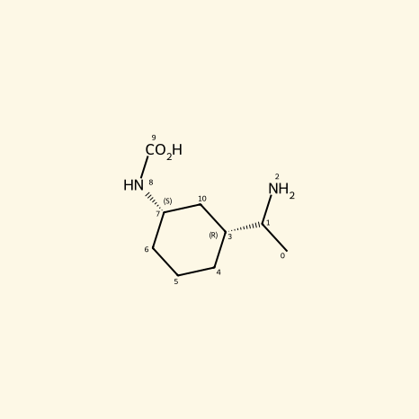 CC(N)[C@@H]1CCC[C@H](NC(=O)O)C1